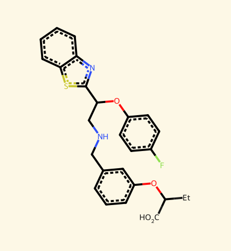 CCC(Oc1cccc(CNCC(Oc2ccc(F)cc2)c2nc3ccccc3s2)c1)C(=O)O